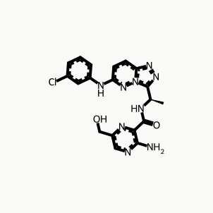 C[C@@H](NC(=O)c1nc(CO)cnc1N)c1nnc2ccc(Nc3cccc(Cl)c3)nn12